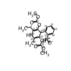 CCC1=C(OC(=O)OC)C(c2ccccc2[N+](=O)[O-])C(OC(=O)OC)=C(C)N1